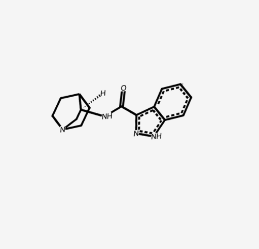 O=C(N[C@H]1CN2CCC1CC2)c1n[nH]c2cc[c]cc12